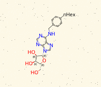 CCCCCCc1ccc(CNc2ncnc3c2ncn3[C@@H]2O[C@H](CO)[C@@H](O)[C@H]2O)cc1